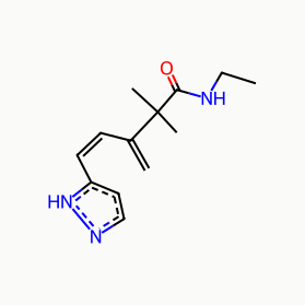 C=C(/C=C\c1ccn[nH]1)C(C)(C)C(=O)NCC